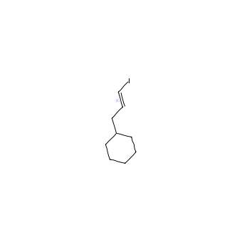 I/C=C/CC1CCCCC1